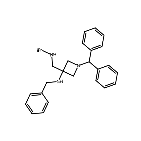 CC(C)NCC1(NCc2ccccc2)CN(C(c2ccccc2)c2ccccc2)C1